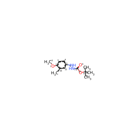 COc1ccc(NNC(=O)OC(C)(C)C)cc1C